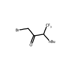 CCCCC(C(=O)CBr)C(F)(F)F